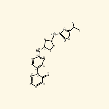 CC(C)c1nc(N[C@H]2CC[C@H](Nc3ccc(-n4ncccc4=O)cn3)C2)no1